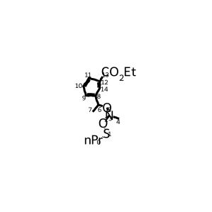 CCCSON(C)OC(C)c1cccc(C(=O)OCC)c1